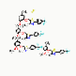 COc1ccc(C)cc1OCc1sc(-c2ccc(C(F)(F)F)cc2)nc1C.COc1ccc(C)cc1OCc1sc(-c2ccc(C(F)(F)F)cc2)nc1C.COc1ccc(C)cc1OCc1sc(-c2ccc(C(F)(F)F)cc2)nc1C.COc1ccc(C)cc1OCc1sc(-c2ccc(C(F)(F)F)cc2)nc1C.[S-2].[S-2]